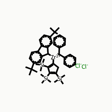 CC(C)(C)c1ccc2c(c1)[CH]([Zr+2]([C]1=C([Si](C)(C)C)C([Si](C)(C)C)=C([Si](C)(C)C)C1)=[C](c1ccccc1)c1ccccc1)c1cc(C(C)(C)C)ccc1-2.[Cl-].[Cl-]